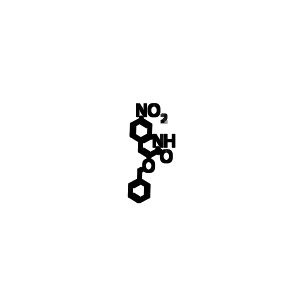 O=c1[nH]c2cc([N+](=O)[O-])ccc2cc1OCc1ccccc1